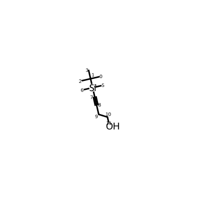 CC(C)(C)[Si](C)(C)C#CCCO